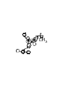 Cc1ccsc1CN1CCN(C(=O)[C@H](NC(=O)OCc2ccccc2)C2CCN(CCc3cc(Cl)ccc3-c3ccccc3)CC2)CC1